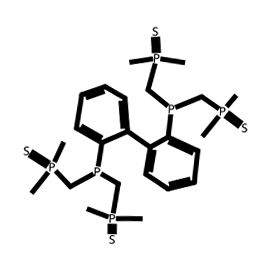 CP(C)(=S)CP(CP(C)(C)=S)c1ccccc1-c1ccccc1P(CP(C)(C)=S)CP(C)(C)=S